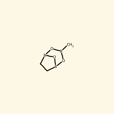 CB1OB2CCB(O1)O2